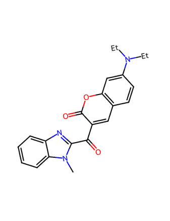 CCN(CC)c1ccc2cc(C(=O)c3nc4ccccc4n3C)c(=O)oc2c1